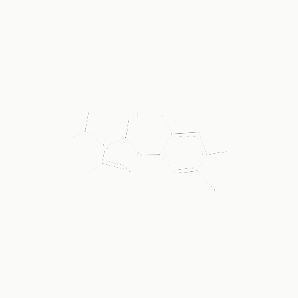 CC1=NN(c2cc([N+](=O)[O-])c(Cl)cc2Cl)C(C=O)N1C(F)F